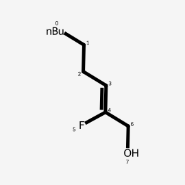 CCCCCCC=C(F)CO